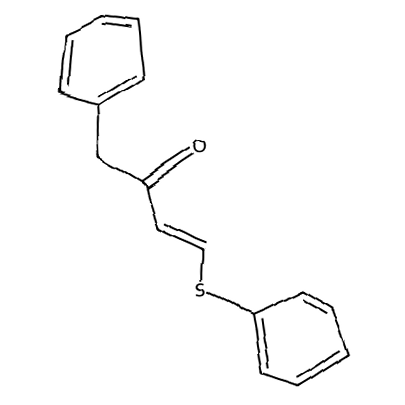 O=C(/C=C/Sc1ccccc1)Cc1ccccc1